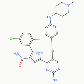 Cc1ccc(Cl)cc1-c1[nH]c(-c2nc(N)ncc2C#Cc2ccc(NC3CCN(C)CC3)cc2)cc1C(N)=O